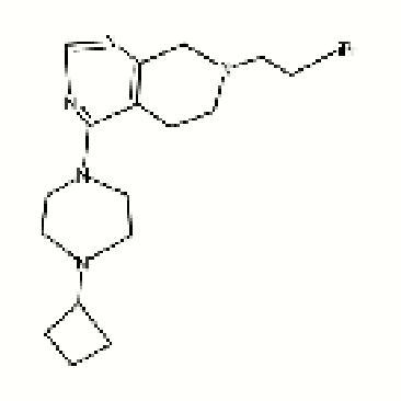 CC(C)CCN1CCc2c(ncnc2N2CCN(C3CCC3)CC2)C1